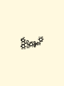 O=C(Nc1ccc(S(=O)(=O)NCCc2ccccc2)cc1)C(c1ccccc1)c1ccccc1